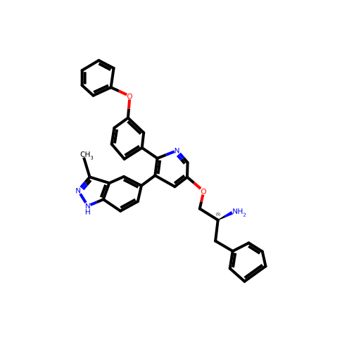 Cc1n[nH]c2ccc(-c3cc(OC[C@@H](N)Cc4ccccc4)cnc3-c3cccc(Oc4ccccc4)c3)cc12